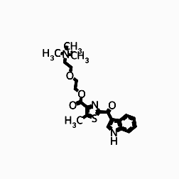 Cc1sc(C(=O)c2c[nH]c3ccccc23)nc1C(=O)OCCOCC[N+](C)(C)C